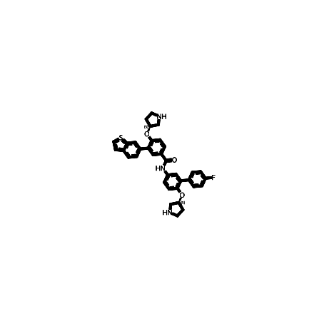 O=C(Nc1ccc(O[C@H]2CCNC2)c(-c2ccc(F)cc2)c1)c1ccc(O[C@H]2CCNC2)c(-c2ccc3ccsc3c2)c1